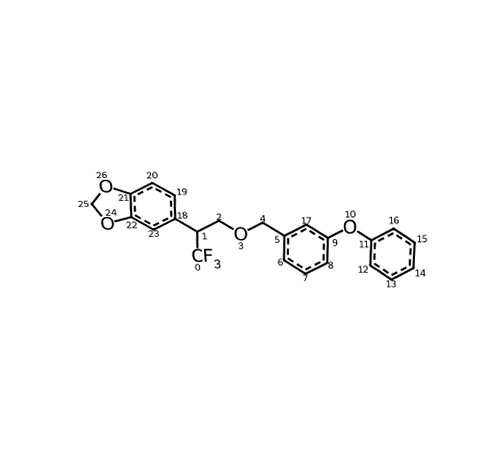 FC(F)(F)C(COCc1cccc(Oc2ccccc2)c1)c1ccc2c(c1)OCO2